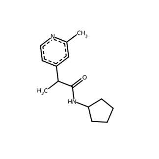 Cc1cc(C(C)C(=O)NC2CCCC2)ccn1